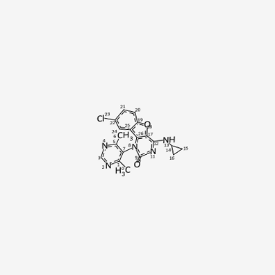 Cc1ncnc(C)c1-n1c(=O)nc(NC2CC2)c2oc3ccc(Cl)cc3c21